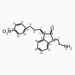 NCCN1C(=O)/C(=C/CCc2ccc([N+](=O)[O-])cc2)c2ccccc21